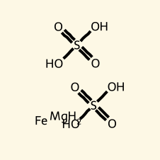 O=S(=O)(O)O.O=S(=O)(O)O.[Fe].[MgH2]